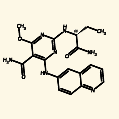 CC[C@@H](Nc1nc(Nc2ccc3ncccc3c2)c(C(N)=O)c(OC)n1)C(N)=O